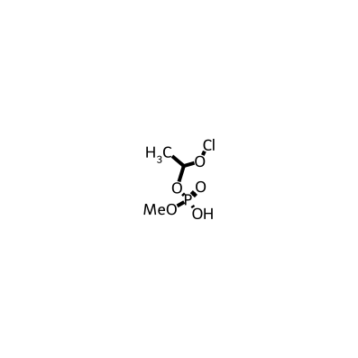 COP(=O)(O)OC(C)OCl